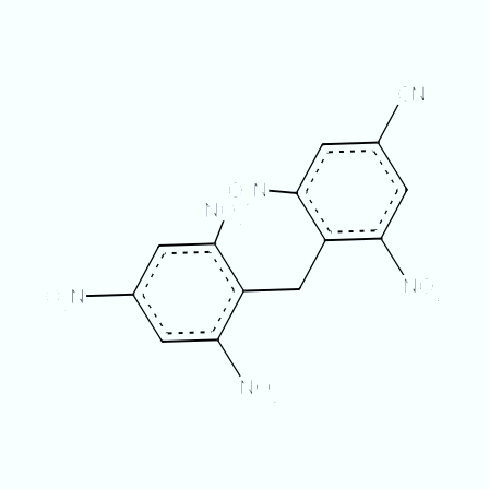 N#Cc1cc([N+](=O)[O-])c(Cc2c([N+](=O)[O-])cc([N+](=O)[O-])cc2[N+](=O)[O-])c([N+](=O)[O-])c1